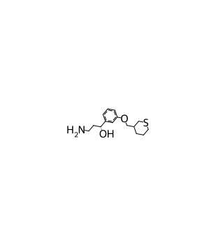 NCC[C@@H](O)c1cccc(OCC2CCCSC2)c1